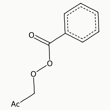 CC(=O)COOC(=O)c1ccccc1